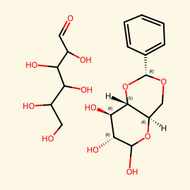 O=CC(O)C(O)C(O)C(O)CO.OC1O[C@@H]2CO[C@@H](c3ccccc3)O[C@H]2[C@H](O)[C@H]1O